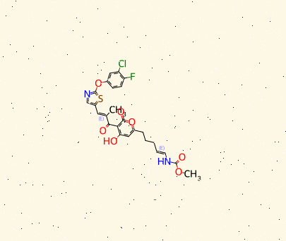 COC(=O)N/C=C/CCCc1cc(O)c(C(=O)/C(C)=C/c2cnc(Oc3ccc(F)c(Cl)c3)s2)c(=O)o1